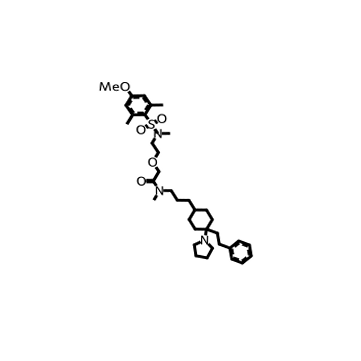 COc1cc(C)c(S(=O)(=O)N(C)CCOCC(=O)N(C)CCCC2CCC(CCc3ccccc3)(N3CCCC3)CC2)c(C)c1